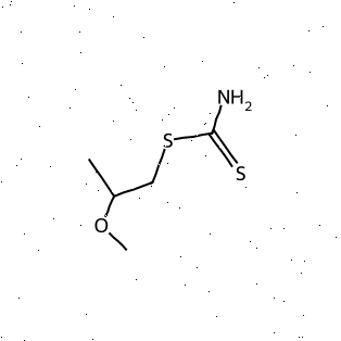 COC(C)CSC(N)=S